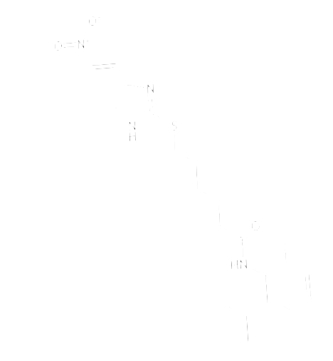 CC(C)c1cccc(C(C)C)c1NC(=O)CCCCCSc1nc2cc([N+](=O)[O-])ccc2[nH]1